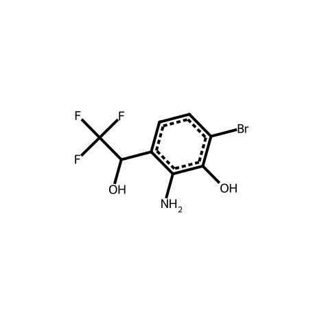 Nc1c(C(O)C(F)(F)F)ccc(Br)c1O